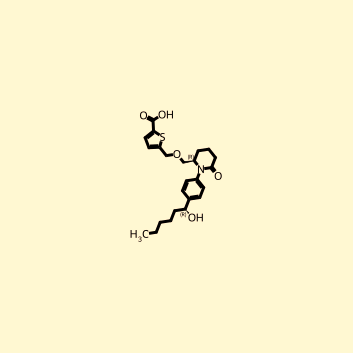 CCCCC[C@@H](O)c1ccc(N2C(=O)CCC[C@@H]2COCc2ccc(C(=O)O)s2)cc1